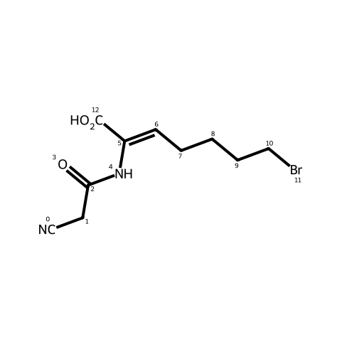 N#CCC(=O)N/C(=C\CCCCBr)C(=O)O